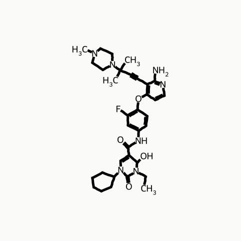 CCN1C(=O)N(C2CCCCC2)C=C(C(=O)Nc2ccc(Oc3ccnc(N)c3C#CC(C)(C)N3CCN(C)CC3)c(F)c2)C1O